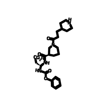 O=C(O)C[C@@H](NC(=O)Oc1ccccc1)NC(=O)[C@@H]1CCCN(C(=O)CCC2CCNCC2)C1